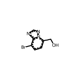 OCc1ccc(Br)c2ncnn12